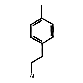 Cc1ccc(C[CH2][Al])cc1